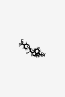 C[C@@H](CN1CCC(C(F)F)CC1)[C@H]1CC[C@H]2/C(=C/Br)CCC[C@]12C